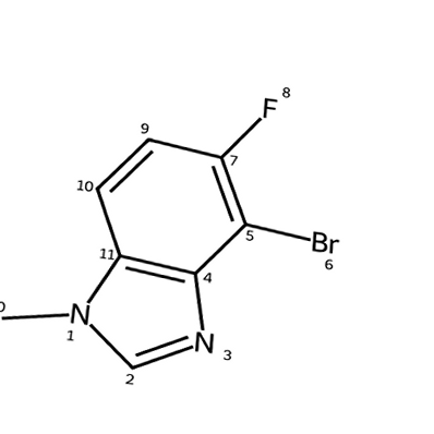 Cn1cnc2c(Br)c(F)ccc21